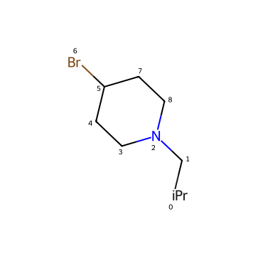 CC(C)CN1CCC(Br)CC1